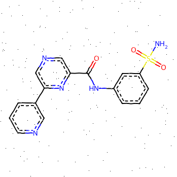 NS(=O)(=O)c1cccc(NC(=O)c2cncc(-c3cccnc3)n2)c1